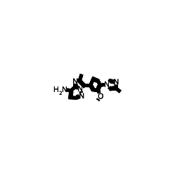 COc1cc(-c2c(C)nc3c(N)ccnn23)ccc1-n1cnc(C)c1